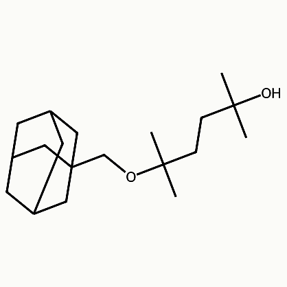 CC(C)(O)CCC(C)(C)OCC12CC3CC(CC(C3)C1)C2